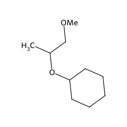 COCC(C)OC1CCCCC1